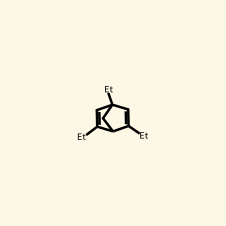 CCC1=CC2(CC)C=C(CC)C1C2